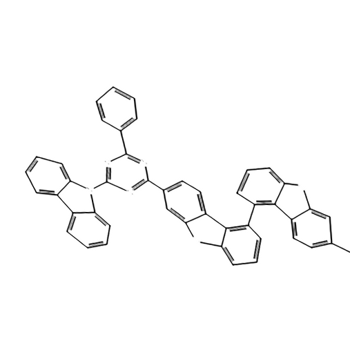 Cc1ccc2c(c1)oc1cccc(-c3cccc4oc5cc(-c6nc(-c7ccccc7)nc(-n7c8ccccc8c8ccccc87)n6)ccc5c34)c12